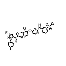 Cc1ccc(-n2nc(C(C)C)cc2NC(=O)Nc2ccc(Oc3ccnc(Nc4cccc(S(=O)(=O)C5CC5)c4)n3)c(Cl)c2Cl)cc1